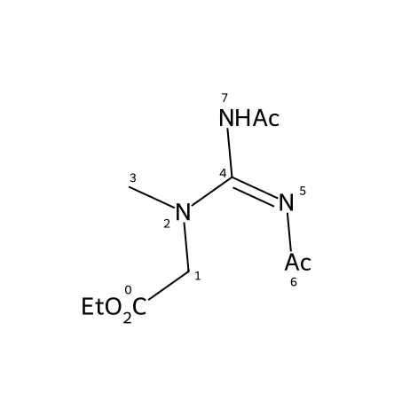 CCOC(=O)CN(C)/C(=N\C(C)=O)NC(C)=O